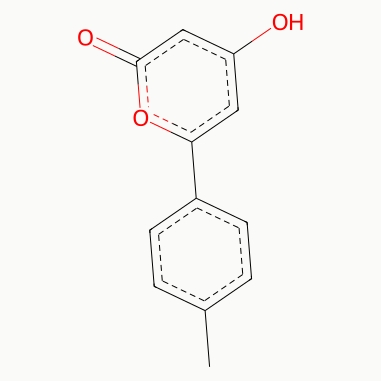 Cc1ccc(-c2cc(O)cc(=O)o2)cc1